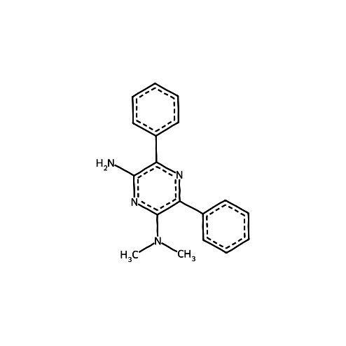 CN(C)c1nc(N)c(-c2ccccc2)nc1-c1ccccc1